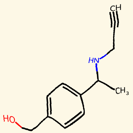 C#CCNC(C)c1ccc(CO)cc1